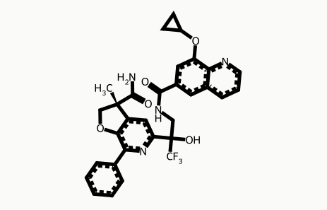 C[C@]1(C(N)=O)COc2c1cc(C(O)(CNC(=O)c1cc(OC3CC3)c3ncccc3c1)C(F)(F)F)nc2-c1ccccc1